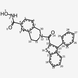 O=C(NO)c1ccc2c(n1)CCN(C(=O)c1sc3ccccc3c1-c1ccccc1)C2